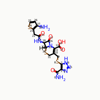 NC(=O)c1nn[nH]c1SCC1=C(C(=O)O)N2C(=O)C(NC(=O)Cc3sccc3N)[C@H]2SC1